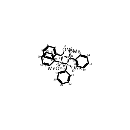 CO[Si]1(c2ccccc2)[Si](OC)(c2ccccc2)[Si](OC)(c2ccccc2)[Si]1(OC)c1ccccc1